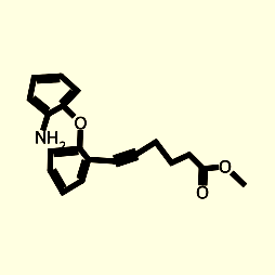 COC(=O)CCCC#Cc1ccccc1Oc1ccccc1N